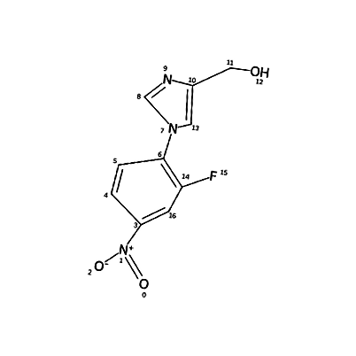 O=[N+]([O-])c1ccc(-n2cnc(CO)c2)c(F)c1